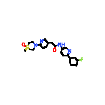 C=S1(=O)CCN(c2ccc(CC(=O)Nc3ccc(-c4cccc(F)c4)nc3)cn2)CC1